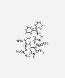 C#Cc1cccc(C2C(C(=O)OC)=C(C)NC(C)=C2C(=O)OC(C)N2CCN(C(c3ccccc3)c3ccccc3)CC2)c1